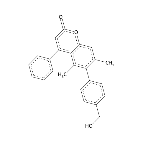 Cc1cc2oc(=O)cc(-c3ccccc3)c2c(C)c1-c1ccc(CO)cc1